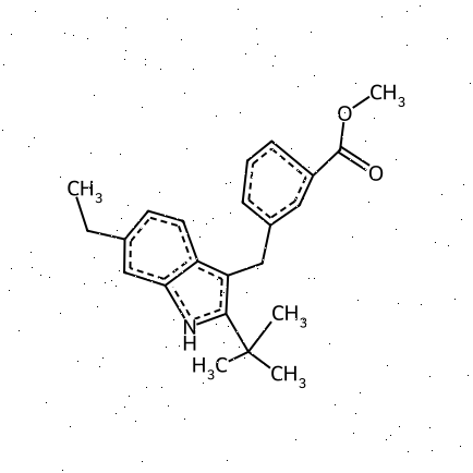 CCc1ccc2c(Cc3cccc(C(=O)OC)c3)c(C(C)(C)C)[nH]c2c1